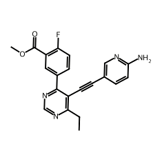 CCc1ncnc(-c2ccc(F)c(C(=O)OC)c2)c1C#Cc1ccc(N)nc1